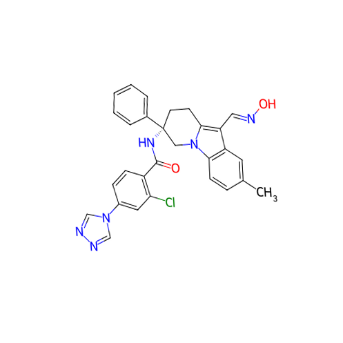 Cc1ccc2c(c1)c(C=NO)c1n2C[C@@](NC(=O)c2ccc(-n3cnnc3)cc2Cl)(c2ccccc2)CC1